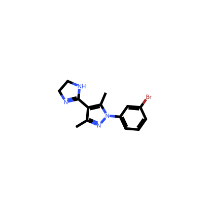 Cc1nn(-c2cccc(Br)c2)c(C)c1C1=NCCN1